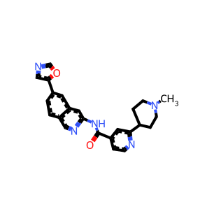 CN1CCC(c2cc(C(=O)Nc3cc4cc(-c5cnco5)ccc4cn3)ccn2)CC1